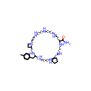 Cc1ccc(CC2CNCCNC3(CCCC3)CNCCNC(C(N)=O)CCNCCNCCNCCN3CCC3CN2)cc1